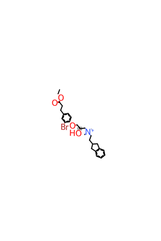 CCOC(=O)CCc1ccc(OC[C@H](O)C[N+](C)(C)CCC2Cc3ccccc3C2)c(Br)c1